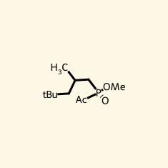 COP(=O)(CC(C)CC(C)(C)C)C(C)=O